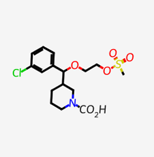 CS(=O)(=O)OCCOC(c1cccc(Cl)c1)C1CCCN(C(=O)O)C1